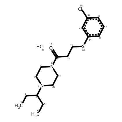 CCC(CC)N1CCN(C(=O)CCSc2cccc(Cl)c2)CC1.Cl